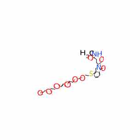 CNC(=O)CCC(C=O)N1Cc2c(SCCOCCOCCOCCOCCOCC=O)cccc2C1=O